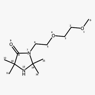 COCCOCCN1C(=O)C(C)(C)NC1(C)C